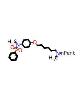 CCCCCN(C)CCCCCCO[C@H]1CC[C@H](N(C)S(=O)(=O)c2ccccc2)CC1